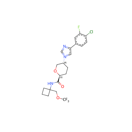 O=C(NC1(COC(F)(F)F)CCC1)[C@@H]1CC[C@@H](n2cnc(-c3ccc(Cl)c(F)c3)c2)CO1